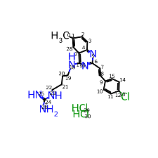 Cc1ccc2nc(C=Cc3ccc(Cl)cc3)nc(NCCCCNC(=N)N)c2c1.Cl.Cl